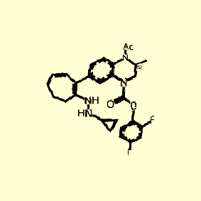 CC(=O)N1c2ccc(C3=C(NNC4CC4)CCCC=C3)cc2N(C(=O)Oc2ccc(F)cc2F)C[C@@H]1C